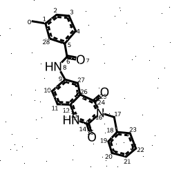 Cc1cccc(C(=O)Nc2ccc3[nH]c(=O)n(Cc4ccccc4)c(=O)c3c2)c1